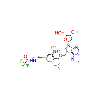 CC(C)C[C@@H](OCc1cn([C@H]2C[C@@H](O)[C@@H](CO)O2)c2ncnc(N)c12)c1ccc(C#CCNC(=O)C(F)(F)F)cc1[N+](=O)[O-]